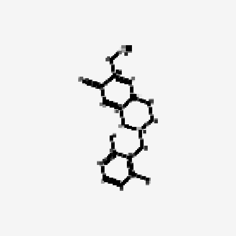 Cc1cccc(C)c1CN1CCn2cc(CO)c(=O)cc2C1